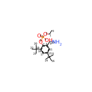 CCOP(=O)(O)Oc1c(CN)cc(C(C)(C)C)cc1C(C)(C)C